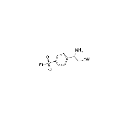 CCS(=O)(=O)c1ccc([C@H](N)CO)cc1